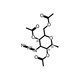 CC(=O)OCC1O[C@@H](C)[C@@H](OC(C)=O)C(N=[N+]=[N-])[C@H]1OC(C)=O